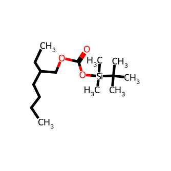 CCCCC(CC)COC(=O)O[Si](C)(C)C(C)(C)C